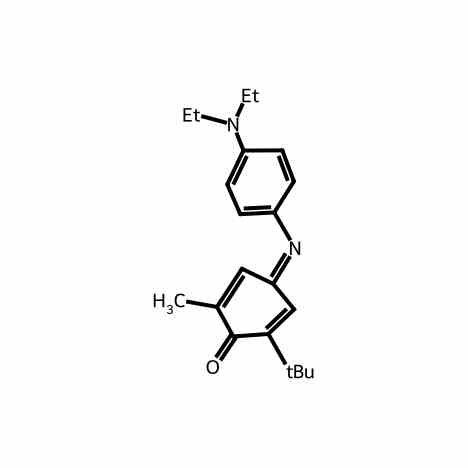 CCN(CC)c1ccc(N=C2C=C(C)C(=O)C(C(C)(C)C)=C2)cc1